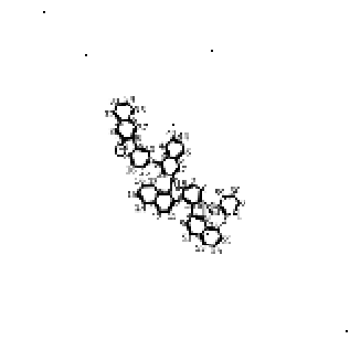 c1ccc(-n2c3ccc4c(c5ccc6ccccc6c5n4-c4cc(-c5ccc6oc7cc8ccccc8cc7c6c5)c5ccccc5c4)c3c3ccc4ccccc4c32)cc1